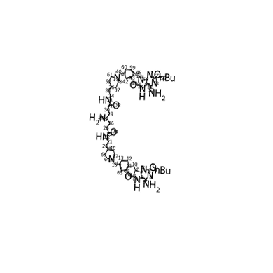 CCCCOc1nc(N)c2c(n1)C(Cc1ccc(CN3CCC(CCNC(=O)CCC(N)CCC(=O)NCCC4CCN(Cc5ccc(Cn6c(=O)[nH]c7c(N)nc(OCCCC)nc76)cc5)CC4)CC3)cc1)C(=O)N2